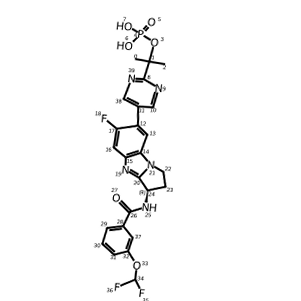 CC(C)(OP(=O)(O)O)c1ncc(-c2cc3c(cc2F)nc2n3CC[C@H]2NC(=O)c2cccc(OC(F)F)c2)cn1